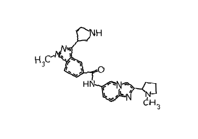 CN1CCCC1c1cn2cc(NC(=O)c3ccc4c(c3)c(C3CCNC3)nn4C)ccc2n1